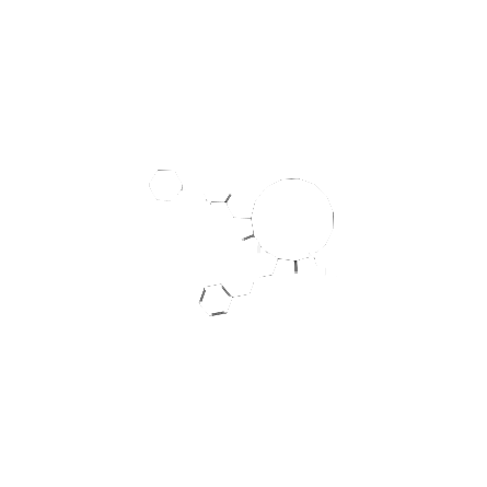 CN1CCCCCCCCCC(CC(=O)NO[C@H]2CCCCO2)C(=O)NC(COCc2ccccc2)C1=O